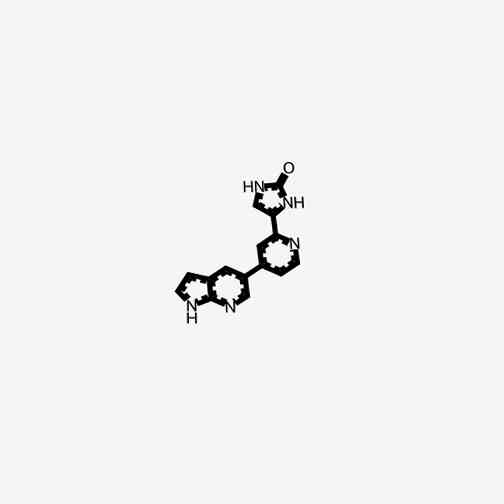 O=c1[nH]cc(-c2cc(-c3cnc4[nH]ccc4c3)ccn2)[nH]1